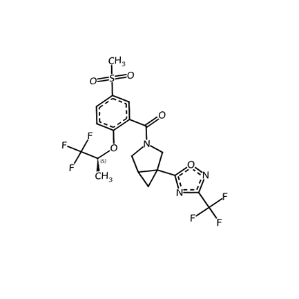 C[C@H](Oc1ccc(S(C)(=O)=O)cc1C(=O)N1CC2CC2(c2nc(C(F)(F)F)no2)C1)C(F)(F)F